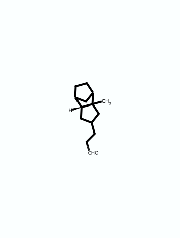 CC12CC(CCC=O)C[C@@H]1C1CCC2C1